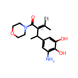 CC/C(C)=C(\C(=O)N1CCOCC1)C(C)c1cc(N)c(O)c(O)c1